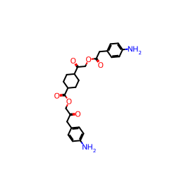 Nc1ccc(CC(=O)COC(=O)C2CCC(C(=O)COC(=O)Cc3ccc(N)cc3)CC2)cc1